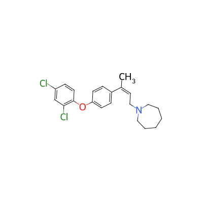 CC(=CCN1CCCCCC1)c1ccc(Oc2ccc(Cl)cc2Cl)cc1